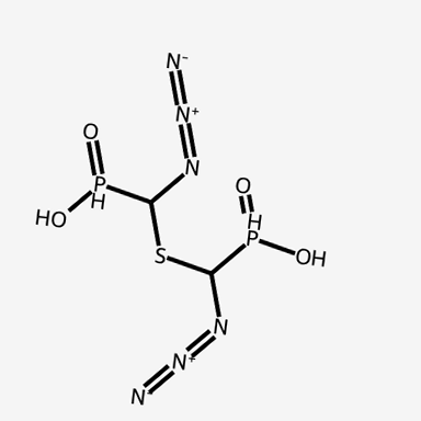 [N-]=[N+]=NC(SC(N=[N+]=[N-])[PH](=O)O)[PH](=O)O